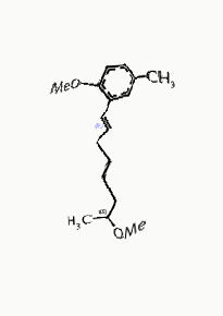 COc1ccc(C)cc1/C=C/CCCC[C@H](C)OC